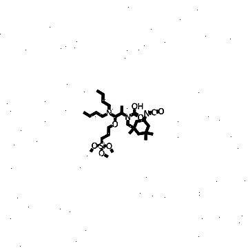 CCCCN(CCCC)C(OCCC[Si](OC)(OC)OC)C(C)N(CC1(C)CC(N=C=O)CC(C)(C)C1)C(=O)O